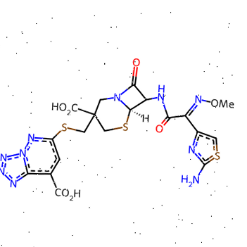 CON=C(C(=O)NC1C(=O)N2CC(CSc3cc(C(=O)O)c4nnnn4n3)(C(=O)O)CS[C@H]12)c1csc(N)n1